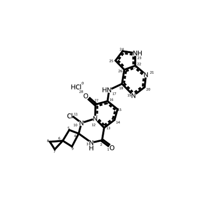 Cl.O=C1NC2(CC3(CC3)C2)N(Cl)n2c1ccc(Nc1ncnc3[nH]ccc13)c2=O